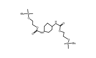 CC(C)(C)[Si](C)(C)OCCOC(=O)NC1CCC(NC(=O)OCCO[Si](C)(C)C(C)(C)C)CC1